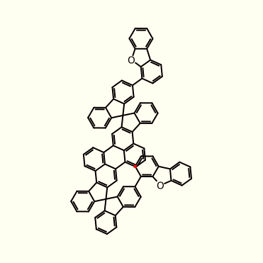 c1ccc2c(c1)-c1ccc(-c3cccc4c3oc3ccccc34)cc1C21c2ccccc2-c2c1cc1c3cccc4c5c(cc(c6cccc2c61)c43)C1(c2ccccc2-c2ccc(-c3cccc4c3oc3ccccc34)cc21)c1ccccc1-5